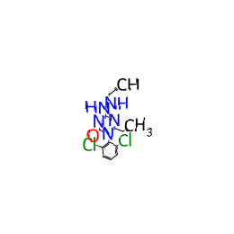 C#CCNNc1nc(CC)n(-c2c(Cl)cccc2Cl)c(=O)n1